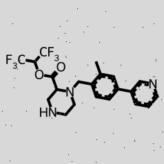 Cc1cc(-c2cccnc2)ccc1CN1CCNCC1C(=O)OC(C(F)(F)F)C(F)(F)F